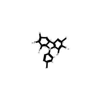 Cc1ccc(-n2c3c(F)c(F)c(C)cc3c3cc(C)c(F)c(F)c32)cc1